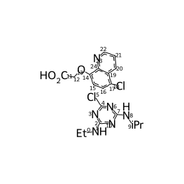 CCNc1nc(Cl)nc(NC(C)C)n1.O=C(O)COc1ccc(Cl)c2cccnc12